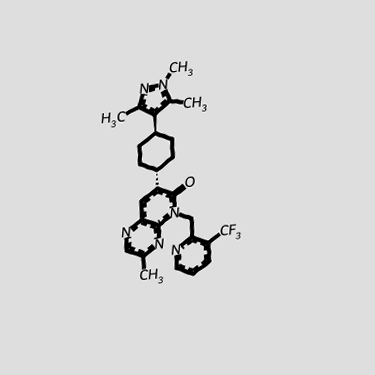 Cc1cnc2cc([C@H]3CC[C@H](c4c(C)nn(C)c4C)CC3)c(=O)n(Cc3ncccc3C(F)(F)F)c2n1